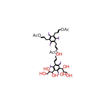 CC(=O)OC=CCc1c(I)c(CC=COC(C)=O)c(I)c(CC=COC(C)=O)c1I.OCC=Cc1c(I)c(C(O)C(O)CO)c(I)c(C(O)C(O)CO)c1I